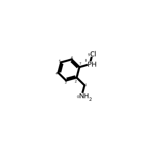 NCc1ccccc1PCl